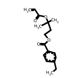 C=CC(=O)OC(C)(C)CCOC(=O)c1ccc(CC)cc1